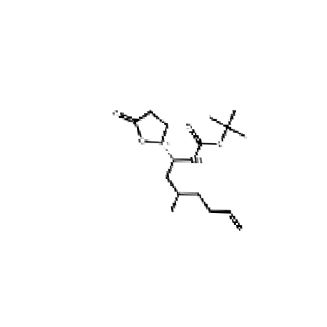 C=CCCC(C)CC(NC(=O)OC(C)(C)C)[C@H]1CCC(=O)O1